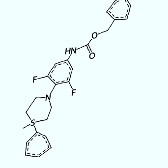 CS1(c2ccccc2)CCN(c2c(F)cc(NC(=O)OCc3ccccc3)cc2F)CC1